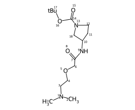 CN(C)CCOCC(=O)NC1CCN(C(=O)OC(C)(C)C)C1